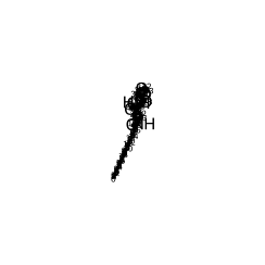 CCCCCCCCC=CCCCCCCCC(=O)Nc1ccc(C(CNC(=O)C2OC(C)(C)OCC2(C)C)C(=O)O)cc1